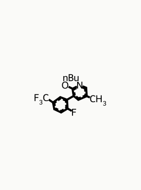 CCCCOc1ncc(C)cc1-c1cc(C(F)(F)F)ccc1F